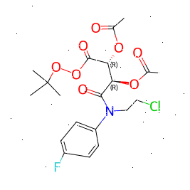 CC(=O)O[C@@H](C(=O)OOC(C)(C)C)[C@@H](OC(C)=O)C(=O)N(CCCl)c1ccc(F)cc1